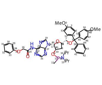 COc1ccc(C(OC[C@@H]2C[C@@H](OP(C)N(C(C)C)C(C)C)[C@H](n3cnc4c(NC(=O)COc5ccccc5)ncnc43)O2)(c2ccccc2)c2ccc(OC)cc2)cc1